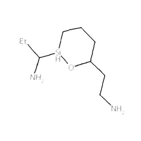 CCC(N)[SiH]1CCCC(CCN)O1